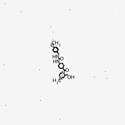 COc1ccc(CNC(=O)NC2CCC(C(=O)N3CCN(C)CC3CO)CC2)cc1